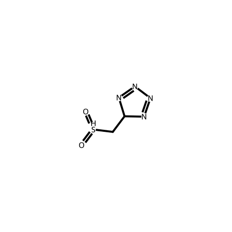 O=[SH](=O)CC1N=NN=N1